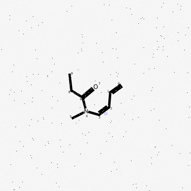 C=C/C=C\N(C)C(=O)CC